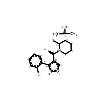 CC(C)(O)[C@@H]1CCCN(C(=O)c2conc2-c2ccccc2Cl)C1I